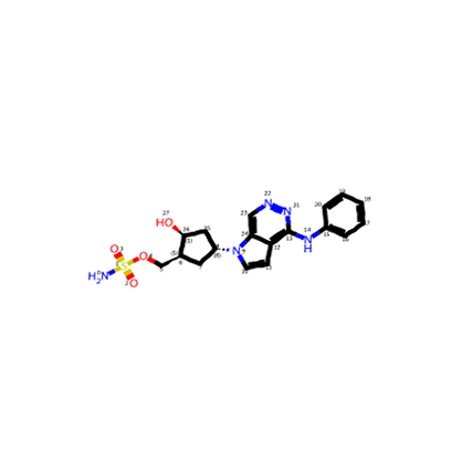 NS(=O)(=O)OC[C@@H]1C[C@@H](n2ccc3c(Nc4ccccc4)nncc32)C[C@@H]1O